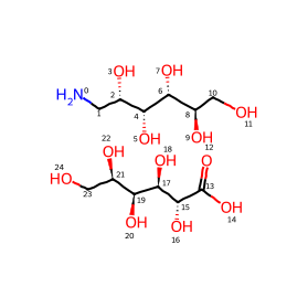 NC[C@H](O)[C@@H](O)[C@H](O)[C@H](O)CO.O=C(O)[C@H](O)[C@H](O)[C@@H](O)[C@H](O)CO